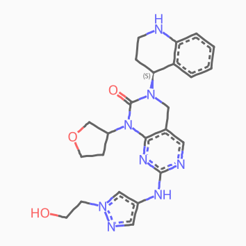 O=C1N(C2CCOC2)c2nc(Nc3cnn(CCO)c3)ncc2CN1[C@H]1CCNc2ccccc21